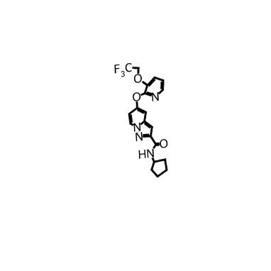 O=C(NC1CCCC1)c1cc2cc(Oc3ncccc3OCC(F)(F)F)ccn2n1